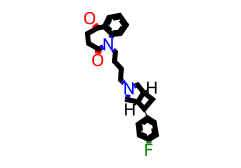 O=C1CCC(=O)N(CCCCN2C[C@H]3C[C@H](c4ccc(F)cc4)[C@H]3C2)c2ccccc21